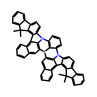 CC1(C)c2ccccc2-c2ccc3c(c21)c1c2ccccc2cc2c1n3-c1cccc3c1B2c1cc2ccccc2c2c4c5c(ccc4n-3c12)-c1ccccc1C5(C)C